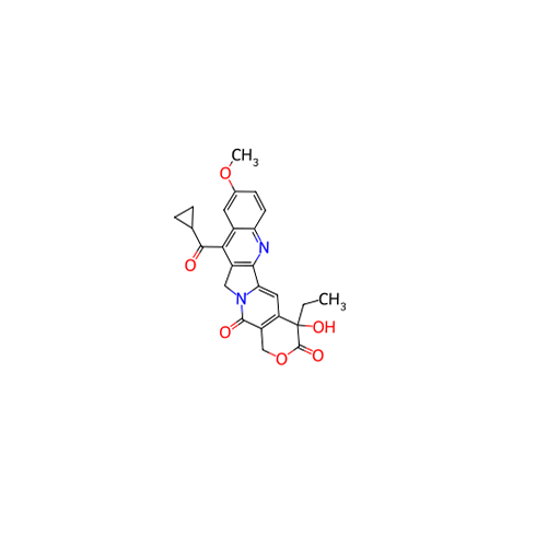 CCC1(O)C(=O)OCc2c1cc1n(c2=O)Cc2c-1nc1ccc(OC)cc1c2C(=O)C1CC1